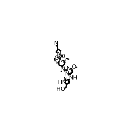 CC[C@@H]1C[C@@H](N(C)c2nc(Nc3cc(CO)[nH]n3)cc(OC)n2)C[C@H](CC)N1S(=O)(=O)N1CC(C#N)C1